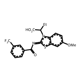 CCC(C(=O)O)n1c(=NC(=O)c2cccc(C(F)(F)F)c2)sc2cc(OC)ccc21